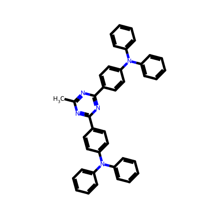 Cc1nc(-c2ccc(N(c3ccccc3)c3ccccc3)cc2)nc(-c2ccc(N(c3ccccc3)c3ccccc3)cc2)n1